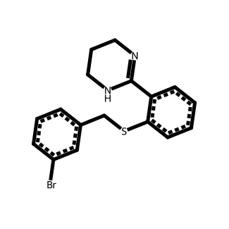 Brc1cccc(CSc2ccccc2C2=NCCCN2)c1